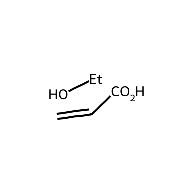 C=CC(=O)O.CCO